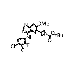 COc1cc2ncnc(Nc3ccc(Cl)c(Cl)c3F)c2nc1C1CN(C(=O)OC(C)(C)C)C1